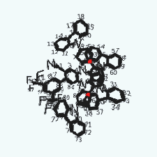 N#Cc1cc(-n2c3cc(-n4c5ccccc5c5ccccc54)ccc3c3ccc(-n4c5ccccc5c5ccccc54)cc32)c(-n2c3cc(-n4c5ccccc5c5ccccc54)ccc3c3ccc(-n4c5ccccc5c5ccccc54)cc32)cc1-c1cc(C(F)(F)F)cc(C(F)(F)F)c1